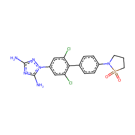 Nc1nc(N)n(-c2cc(Cl)c(-c3ccc(N4CCCS4(=O)=O)cc3)c(Cl)c2)n1